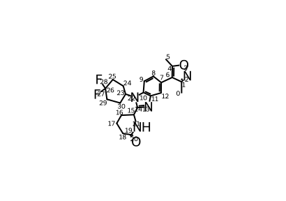 Cc1noc(C)c1-c1ccc2c(c1)nc(C1CCCC(=O)N1)n2C1CCC(F)(F)CC1